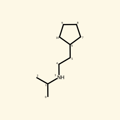 CC(C)NCCC1CCCC1